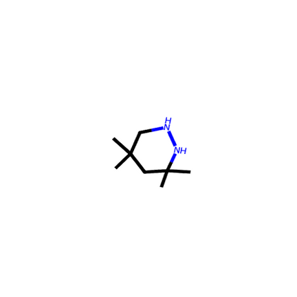 CC1(C)CNNC(C)(C)C1